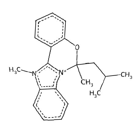 CC(C)CC1(C)Oc2ccccc2-c2n(C)c3ccccc3[n+]21